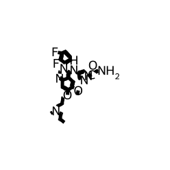 CCCN(C)CCCOc1cc2c(cc1OC)=C(Nc1cnn(CC(N)=O)c1)N(c1cccc(F)c1F)CN=2